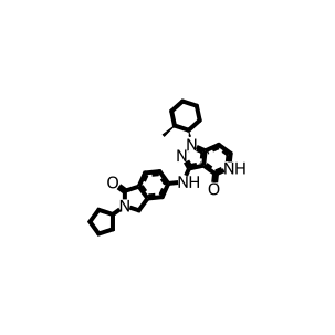 C[C@H]1CCCC[C@@H]1n1nc(Nc2ccc3c(c2)CN(C2CCCC2)C3=O)c2c(=O)[nH]ccc21